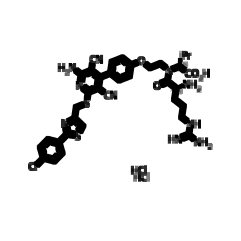 CC(C)[C@@H](C(=O)O)N(CCOc1ccc(-c2c(C#N)c(N)nc(SCc3csc(-c4ccc(Cl)cc4)n3)c2C#N)cc1)C(=O)[C@@H](N)CCCNC(=N)N.Cl.Cl